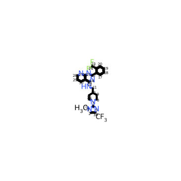 Cn1cc(C(F)(F)F)nc1N1CCC(CNc2nc(-c3ccccc3C(F)F)nc3ncccc23)CC1